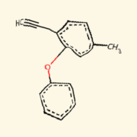 C#Cc1ccc(C)cc1Oc1ccccc1